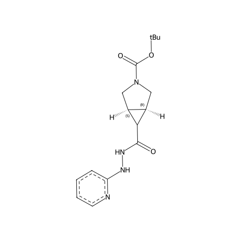 CC(C)(C)OC(=O)N1C[C@@H]2C(C(=O)NNc3ccccn3)[C@@H]2C1